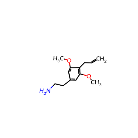 C=CCc1c(OC)cc(CCN)cc1OC